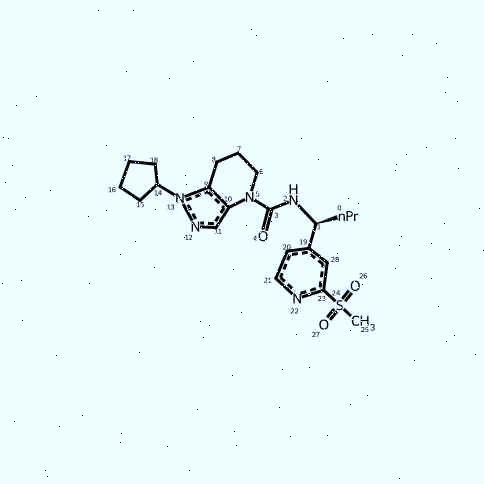 CCC[C@H](NC(=O)N1CCCc2c1cnn2C1CCCC1)c1ccnc(S(C)(=O)=O)c1